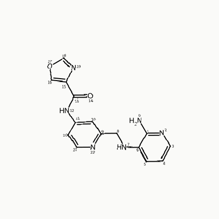 Nc1ncccc1NCc1cc(NC(=O)c2cocn2)ccn1